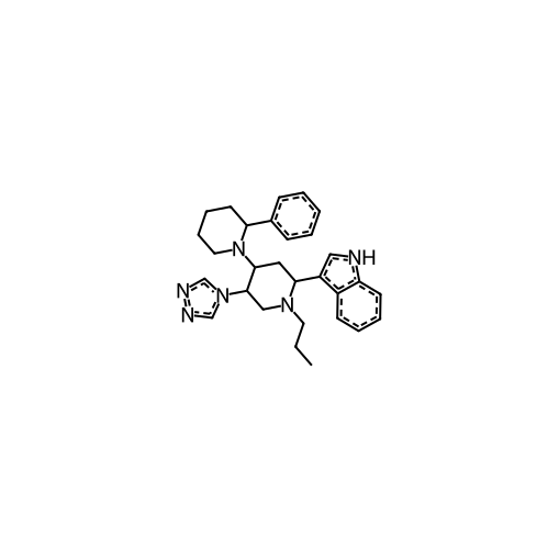 CCCN1CC(n2cnnc2)C(N2CCCCC2c2ccccc2)CC1c1c[nH]c2ccccc12